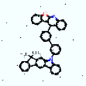 CC1(C)c2ccccc2-c2cc3c4ccccc4n(-c4cccc(-c5cccc(-c6c7ccccc7nc7oc8ccccc8c67)c5)c4)c3cc21